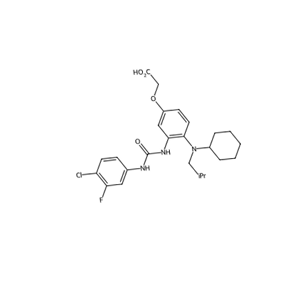 CC(C)CN(c1ccc(OCC(=O)O)cc1NC(=O)Nc1ccc(Cl)c(F)c1)C1CCCCC1